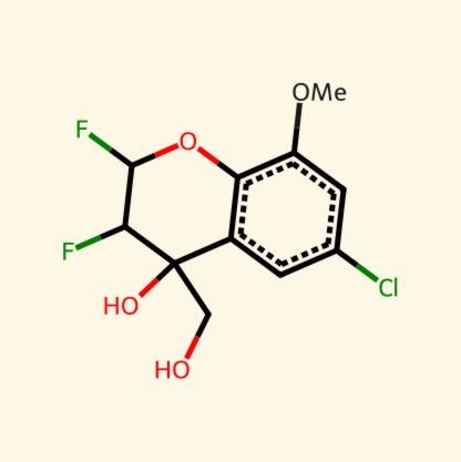 COc1cc(Cl)cc2c1OC(F)C(F)C2(O)CO